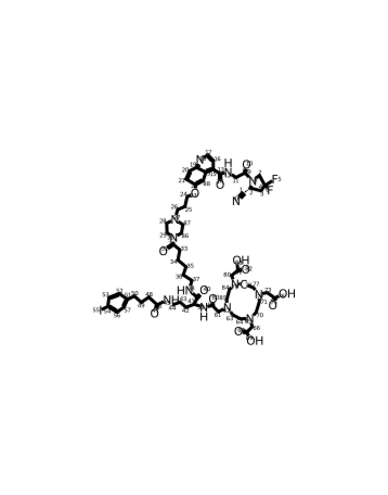 N#C[C@H]1CC(F)(F)CN1C(=O)CNC(=O)c1ccnc2ccc(OCCCN3CCN(C(=O)CCCCCNC(=O)C(CCCNC(=O)CCCc4ccc(I)cc4)NC(=O)CN4CCN(CC(=O)O)CCN(CC(=O)O)CCN(CC(=O)O)CC4)CC3)cc12